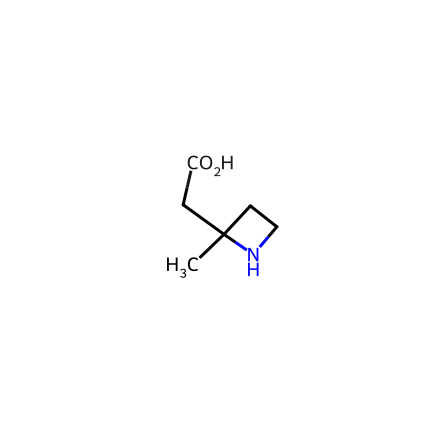 CC1(CC(=O)O)CCN1